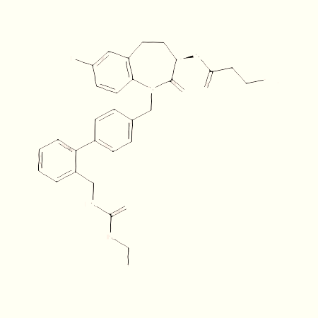 CCCC(=O)N[C@@H]1CCc2cc(F)ccc2N(Cc2ccc(-c3ccccc3CNC(=O)NCC)cc2)C1=O